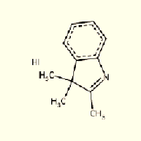 CC1=Nc2ccccc2C1(C)C.I